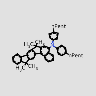 CCCCCc1ccc(N(c2ccc(CCCCC)cc2)c2cc3c(c4ccccc24)-c2cc4c(cc2C3(C)C)-c2ccccc2C4(C)C)cc1